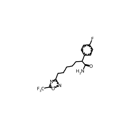 NC(=O)C(CCCCCc1noc(C(F)(F)F)n1)c1ccc(F)cc1